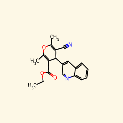 CCOC(=O)C1=C(C)OC(C)=C(C#N)C1c1cnc2ccccc2c1